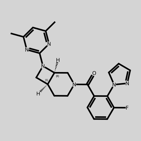 Cc1cc(C)nc(N2C[C@@H]3CCN(C(=O)c4cccc(F)c4-n4cccn4)C[C@@H]32)n1